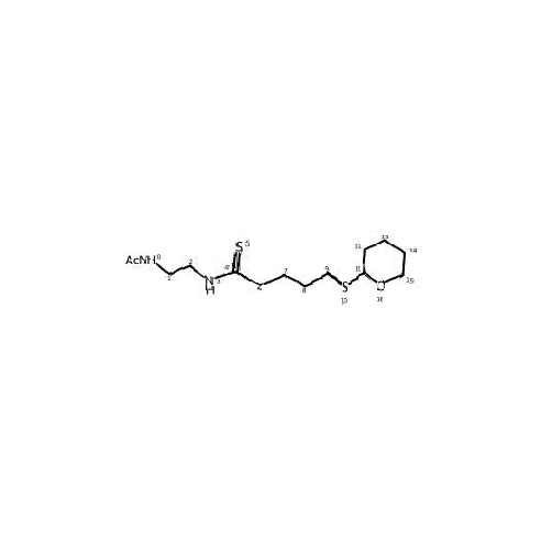 CC(=O)NCCNC(=S)CCCCSC1CCCCO1